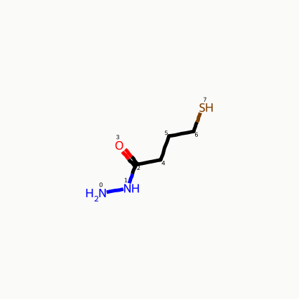 NNC(=O)CCCS